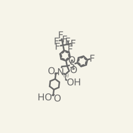 O=C(O)C1CCC(C(=O)N2CC(c3ccc(C(F)(C(F)(F)F)C(F)(F)F)cc3)(S(=O)(=O)c3ccc(F)cc3)C[C@H]2CO)CC1